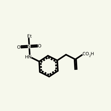 C=C(Cc1cccc(NS(=O)(=O)CC)c1)C(=O)O